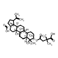 C=C(C)C1CC[C@]2(C(=O)O)CC[C@]3(C)[C@H](CC[C@@H]4[C@@]5(C)CC[C@H](OC(=O)CC(C)(C)C(=O)O)C(C)(C)[C@@H]5CC[C@]43C)[C@@H]12